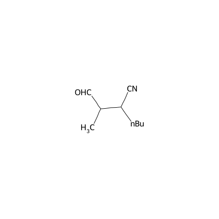 CCCCC(C#N)C(C)C=O